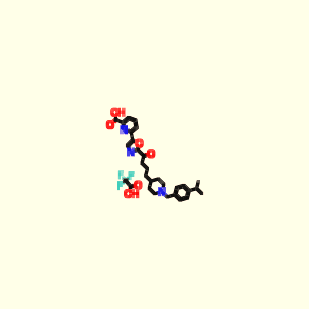 CC(C)c1ccc(CN2CCC(CCCC(=O)c3ncc(-c4cccc(C(=O)O)n4)o3)CC2)cc1.O=C(O)C(F)(F)F